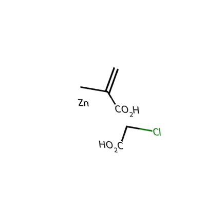 C=C(C)C(=O)O.O=C(O)CCl.[Zn]